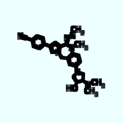 C=N/N=C1/c2cc(-c3ccc(C#N)cc3)cn2Cc2cc(N3C[C@@H](N(C)C)[C@@H](O)C3)ccc2N1C